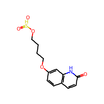 O=c1ccc2ccc(OCCCCO[SH](=O)=O)cc2[nH]1